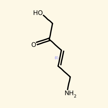 NC/C=C/C(=O)CO